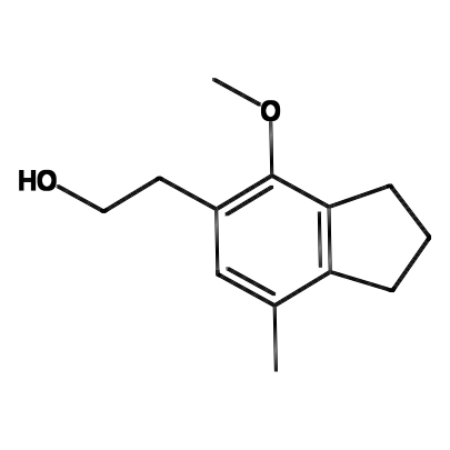 COc1c(CCO)cc(C)c2c1CCC2